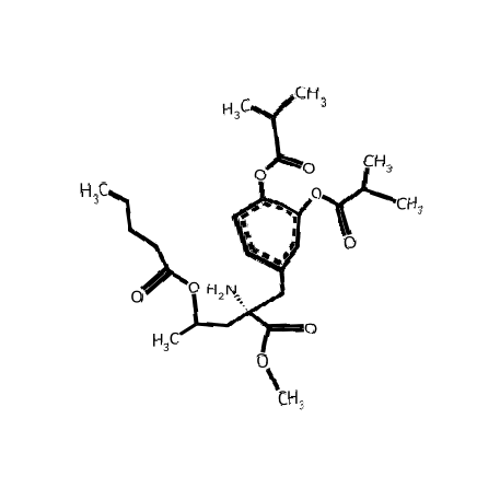 CCCCC(=O)OC(C)C[C@@](N)(Cc1ccc(OC(=O)C(C)C)c(OC(=O)C(C)C)c1)C(=O)OC